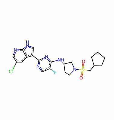 O=S(=O)(CC1CCCC1)N1CC[C@H](Nc2nc(-c3c[nH]c4ncc(Cl)cc34)ncc2F)C1